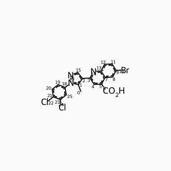 Cc1c(-c2cc(C(=O)O)c3cc(Br)ccc3n2)cnn1-c1ccc(Cl)c(Cl)c1